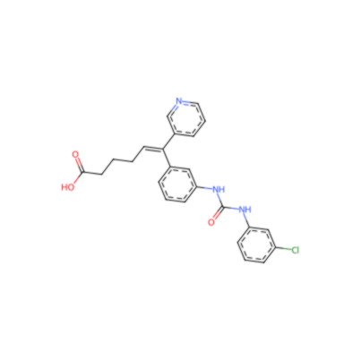 O=C(O)CCCC=C(c1cccnc1)c1cccc(NC(=O)Nc2cccc(Cl)c2)c1